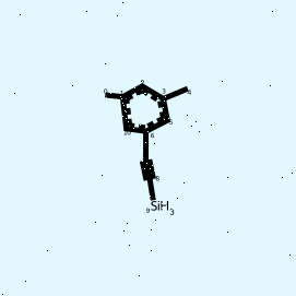 Cc1cc(C)cc(C#C[SiH3])c1